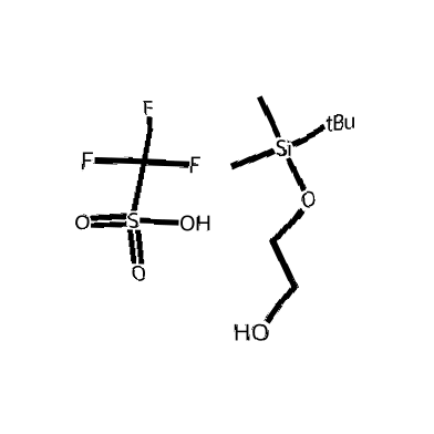 CC(C)(C)[Si](C)(C)OCCO.O=S(=O)(O)C(F)(F)F